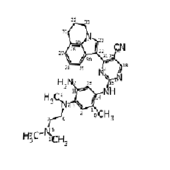 Cc1cc(N(C)CCN(C)C)c(N)cc1Nc1ncc(C#N)c(-c2cn3c4c(cccc24)CCC3)n1